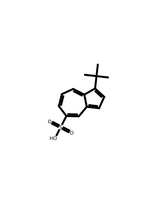 CC(C)(C)c1ccc2cc(S(=O)(=O)O)cccc1-2